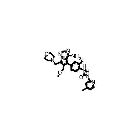 COCc1c(-c2ccc(NC(=O)Nc3cc(C)ccn3)c(F)c2)c2c(N)ncnn2c1CN1CCOCC1